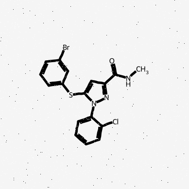 CNC(=O)c1cc(Sc2cccc(Br)c2)n(-c2ccccc2Cl)n1